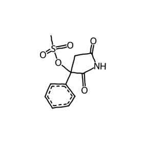 CS(=O)(=O)OC1(c2ccccc2)CC(=O)NC1=O